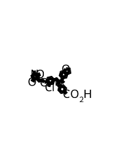 CC(c1ccc2c(c1)CCO2)N(Cc1ccc(OCCN2C(=O)CN(C)C2=O)c(Cl)c1)CC1CCC(C(=O)O)CC1